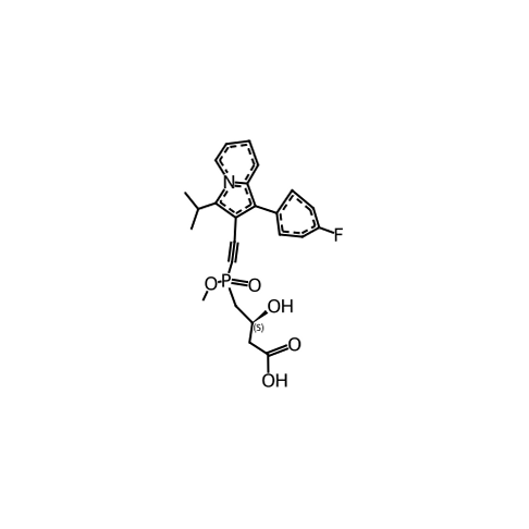 COP(=O)(C#Cc1c(-c2ccc(F)cc2)c2ccccn2c1C(C)C)C[C@@H](O)CC(=O)O